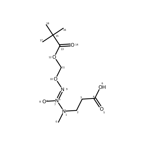 CN(CCC(=O)O)[N+]([O-])=NOCOC(=O)C(C)(C)C